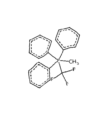 CP(c1ccccc1)(c1ccccc1)(c1ccccc1)C(F)(F)F